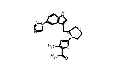 CC(=O)c1sc(N2CCOC[C@@H]2Cc2c[nH]c3ccc(-n4cncn4)cc23)nc1C